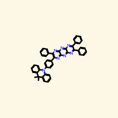 CC1(C)c2ccccc2N(c2ccc(-c3nc4nc5nc(-c6ccccc6)c(-c6ccccc6)nc5nc4nc3-c3ccccc3)cc2)c2ccccc21